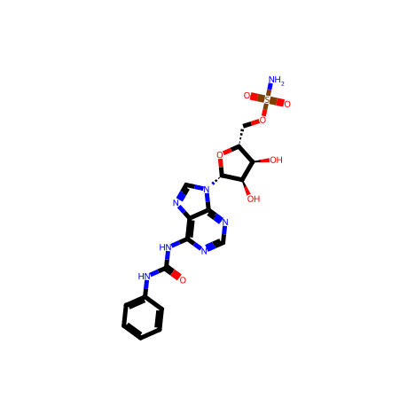 NS(=O)(=O)OC[C@H]1O[C@@H](n2cnc3c(NC(=O)Nc4ccccc4)ncnc32)[C@H](O)[C@@H]1O